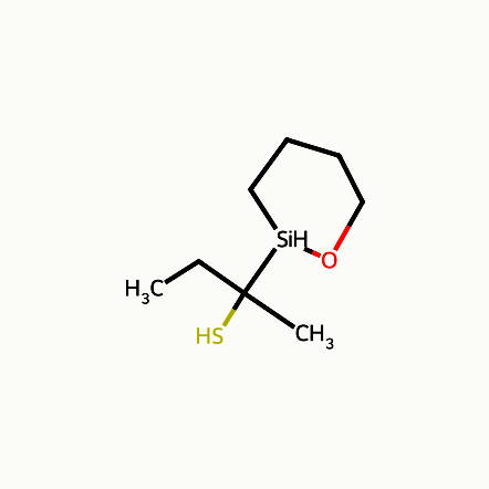 CCC(C)(S)[SiH]1CCCCO1